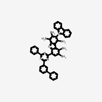 Bc1cc(-c2nc(-c3ccccc3)nc(-c3cccc(-c4ccccc4)c3)n2)c2oc3c(B)c(B)c(-n4c5ccccc5c5ccccc54)c(B)c3c2c1B